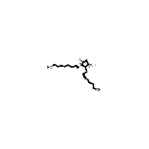 OCCCC/C=C\CC1[C@H](O)C[C@H](O)[C@H]1/C=C/CCCCCCO